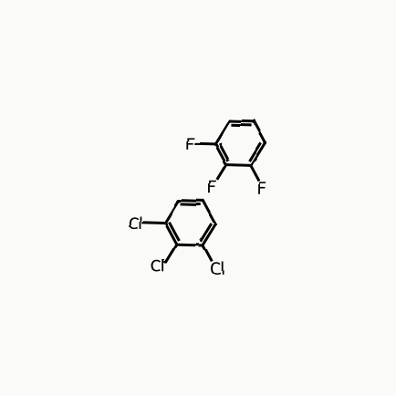 Clc1cccc(Cl)c1Cl.Fc1cccc(F)c1F